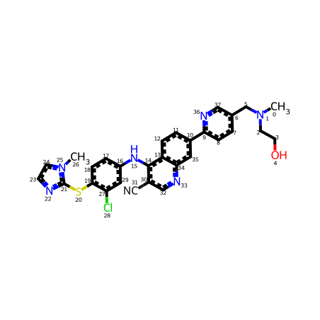 CN(CCO)Cc1ccc(-c2ccc3c(Nc4ccc(Sc5nccn5C)c(Cl)c4)c(C#N)cnc3c2)nc1